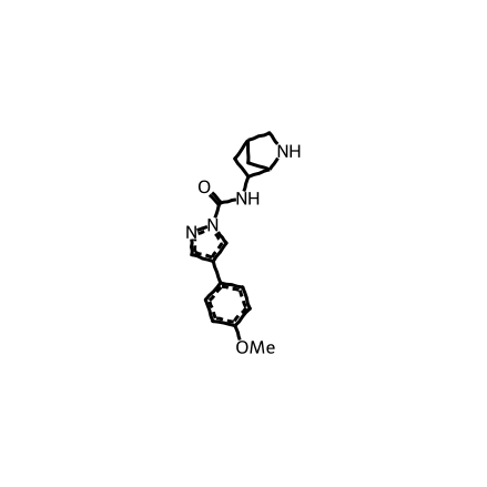 COc1ccc(-c2cnn(C(=O)NC3CC4CNC3C4)c2)cc1